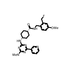 CNc1nc(N[C@H]2CC[C@@H](C(=O)NCc3ccc(OC)cc3CF)CC2)nc(-c2cccnc2)n1